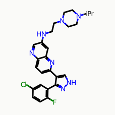 CC(C)N1CCN(CCNc2cnc3ccc(-c4c[nH]nc4-c4cc(Cl)ccc4F)nc3c2)CC1